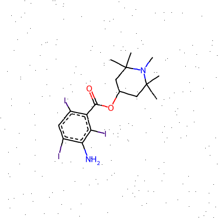 CN1C(C)(C)CC(OC(=O)c2c(I)cc(I)c(N)c2I)CC1(C)C